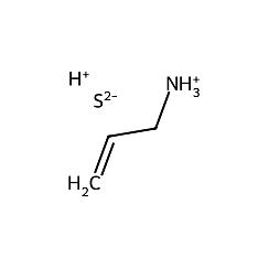 C=CC[NH3+].[H+].[S-2]